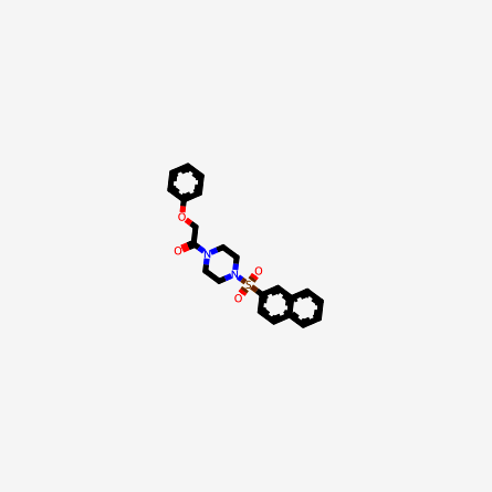 O=C(COc1ccccc1)N1CCN(S(=O)(=O)c2ccc3ccccc3c2)CC1